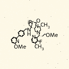 COCC[C@H](c1nccc(C)c1F)N1C[C@@H](C)N(C(=O)C(C)C)[C@@H](C(=O)NCc2ccc(-c3cccc(OC)n3)cc2)C1